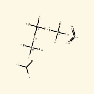 FC(F)F.F[B-](F)(F)F.F[B-](F)(F)F.F[B-](F)(F)F.O=S=O